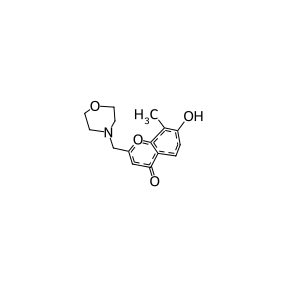 Cc1c(O)ccc2c(=O)cc(CN3CCOCC3)oc12